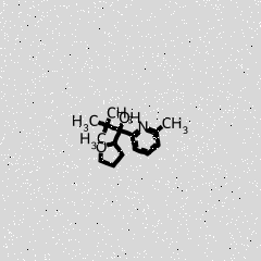 Cc1cccc(C(O)(C2CCCO2)C(C)(C)C)n1